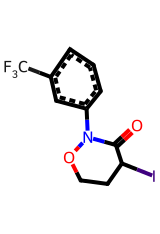 O=C1C(I)CCON1c1cccc(C(F)(F)F)c1